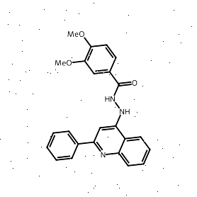 COc1ccc(C(=O)NNc2cc(-c3ccccc3)nc3ccccc23)cc1OC